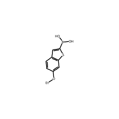 CCOc1ccc2cc(B(O)O)sc2c1